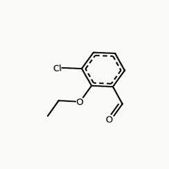 CCOc1c(Cl)cccc1C=O